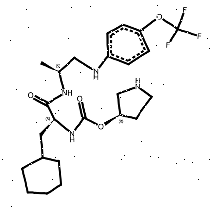 C[C@@H](CNc1ccc(OC(F)(F)F)cc1)NC(=O)[C@H](CC1CCCCC1)NC(=O)O[C@@H]1CCNC1